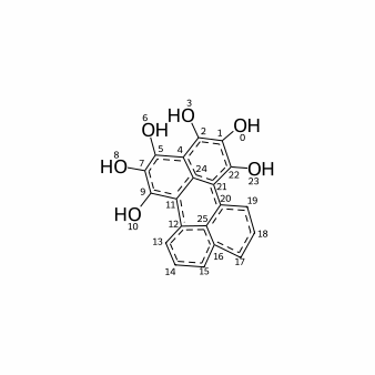 Oc1c(O)c2c(O)c(O)c(O)c3c4cccc5cccc(c(c1O)c23)c54